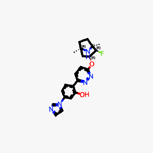 C[C@]12CC[C@](C)(N1)[C@@H](F)[C@H](Oc1ccc(-c3ccc(-n4ccnc4)cc3O)nn1)C2